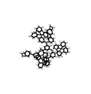 c1cc(-c2ccc3c(c2)CC3)cc(C2CC2(c2cc(N(c3cccc(-c4ccc5c(c4)CC5)c3)c3ccc4c(c3)C3(c5ccccc5-c5ccccc53)c3ccccc3-4)cc(N(c3cccc(-c4ccc5c(c4)CC5)c3)c3ccc4c(c3)C3(c5ccccc5-c5ccccc53)c3ccccc3-4)c2)c2ccc3c(c2)C2(c4ccccc4-c4ccccc42)c2ccccc2-3)c1